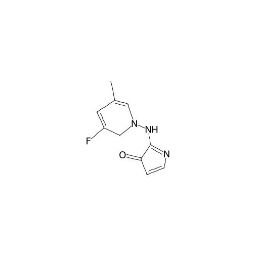 CC1=CN(NC2=NC=CC2=O)CC(F)=C1